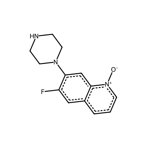 [O-][n+]1cccc2cc(F)c(N3CCNCC3)cc21